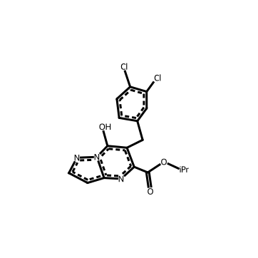 CC(C)OC(=O)c1nc2ccnn2c(O)c1Cc1ccc(Cl)c(Cl)c1